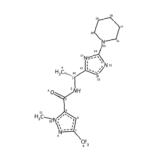 C[C@@H](NC(=O)c1cc(C(F)(F)F)nn1C)c1nc(N2CCCCC2)ns1